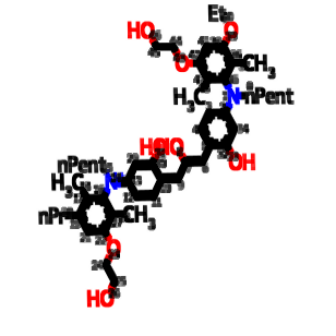 CCCCCN(c1ccc(/C=C(O)/C=C2C=C/C(=[N+](/CCCCC)c3c(C)c(CCC)cc(OCCO)c3C)C=C/2O)c(O)c1)c1c(C)c(OCC)cc(OCCO)c1C